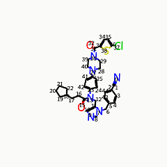 N#Cc1ccc(Cn2cncc2CN(C(=O)CCC2CCCC2)c2ccc(N3CCN(C(=O)c4ccc(Cl)s4)CC3)cc2)cc1